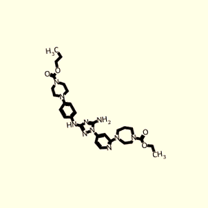 CCCOC(=O)N1CCN(c2ccc(Nc3nc(N)n(-c4ccnc(N5CCCN(C(=O)OCC)CC5)c4)n3)cc2)CC1